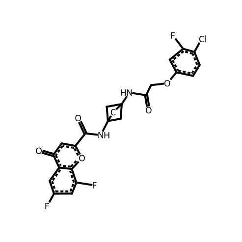 O=C(COc1ccc(Cl)c(F)c1)NC12CC(NC(=O)c3cc(=O)c4cc(F)cc(F)c4o3)(C1)C2